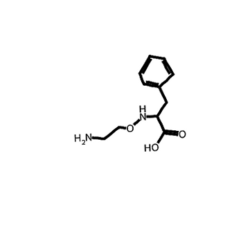 NCCONC(Cc1ccccc1)C(=O)O